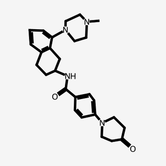 CN1CCN(c2cccc3c2CC(NC(=O)c2ccc(N4CCC(=O)CC4)cc2)CC3)CC1